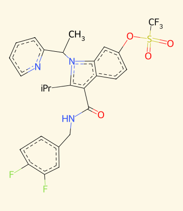 CC(C)c1c(C(=O)NCc2ccc(F)c(F)c2)c2ccc(OS(=O)(=O)C(F)(F)F)cc2n1C(C)c1ccccn1